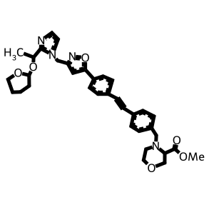 COC(=O)C1COCCN1Cc1ccc(C#Cc2ccc(-c3cc(Cn4ccnc4C(C)OC4CCCCO4)no3)cc2)cc1